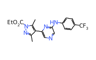 CCOC(=O)n1nc(C)c(-c2cncc(Nc3ccc(C(F)(F)F)cc3)n2)c1C